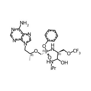 CC(C)NC(O)[C@H](COC(F)(F)F)N[P@](=O)(CO[C@H](C)Cn1cnc2c(N)ncnc21)Oc1ccccc1